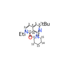 CCn1ccc2cc(C(C)(C)C)nc(N3CCCCC3)c2c1=O